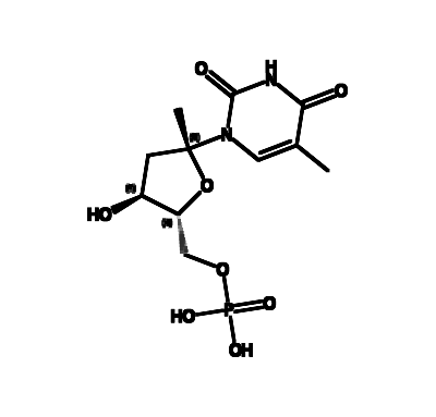 Cc1cn([C@@]2(C)C[C@H](O)[C@@H](COP(=O)(O)O)O2)c(=O)[nH]c1=O